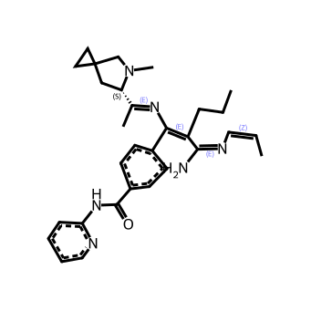 C\C=C/N=C(N)\C(CCC)=C(\N=C(/C)[C@@H]1CC2(CC2)CN1C)c1ccc(C(=O)Nc2ccccn2)cc1